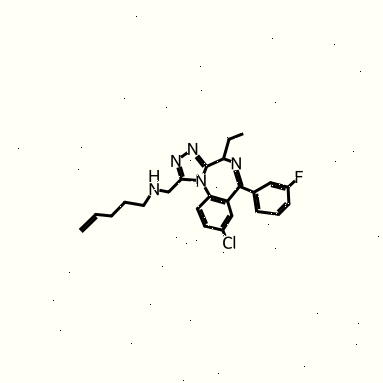 C=CCCCNCc1nnc2n1-c1ccc(Cl)cc1C(c1cccc(F)c1)=NC2CC